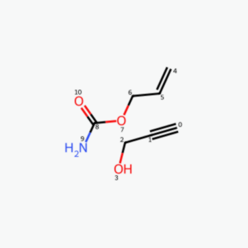 C#CCO.C=CCOC(N)=O